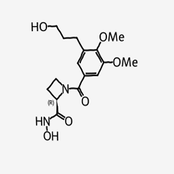 COc1cc(C(=O)N2CC[C@@H]2C(=O)NO)cc(CCCO)c1OC